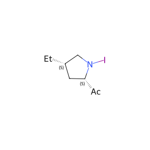 CC[C@H]1C[C@@H](C(C)=O)N(I)C1